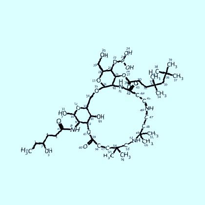 CCC(O)CCC(=O)NC1C(O)OC2COC3OC(CO)C(OP(O)O)C(OC(=O)CCC(C)(C)CC(C)(C)C)C3NC(=O)CCNCCC(C)(C)NCC(C)(C)CCC(=O)OC1C2O